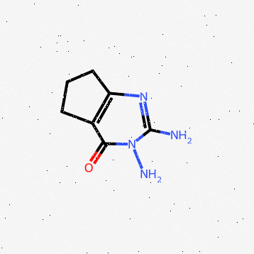 Nc1nc2c(c(=O)n1N)CCC2